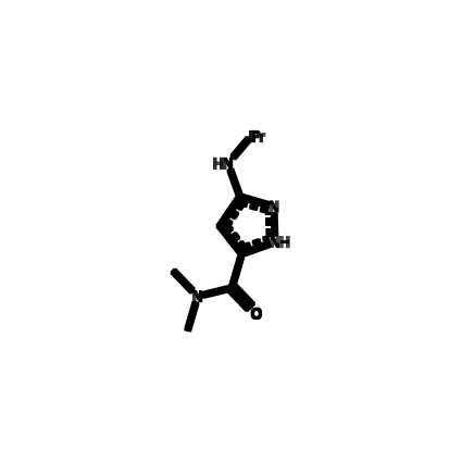 CC(C)Nc1cc(C(=O)N(C)C)[nH]n1